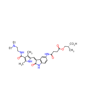 CCN(CC)CCNC(=O)c1c(C)[nH]c(/C=C2\C(=O)Nc3ccc(NC(=O)CCC(=O)OC[C@@H](C)C(=O)O)cc32)c1C